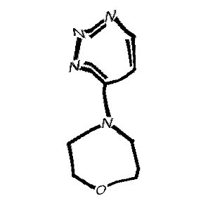 c1cc(N2CCOCC2)nnn1